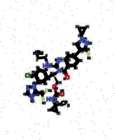 CC(C)(C)CCNC(=N)N(C(=O)c1ccc(-c2cn(C3CC3)nc2F)cc1)[C@H](COC(=O)NC1(C(F)(F)F)CC1)c1ccc(Cl)c(-n2ncnc2C(F)F)c1